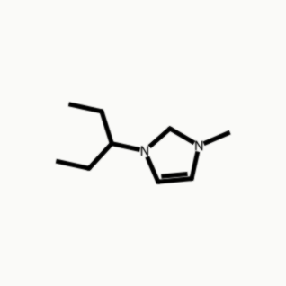 CCC(CC)N1C=CN(C)C1